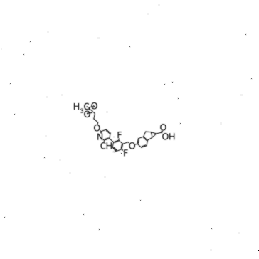 Cc1nc(OCCCS(C)(=O)=O)ccc1-c1ccc(F)c(COc2ccc3c(c2)CC2C(C(=O)O)C32)c1F